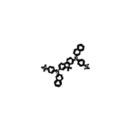 CC1(C)c2cc(N(c3ccc([Si](C)(C)C)cc3)c3ccc4ccccc4c3)ccc2-c2ccc(N(c3ccc([Si](C)(C)C)cc3)c3ccc4ccccc4c3)cc21